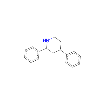 c1ccc(C2CCNC(c3ccccc3)C2)cc1